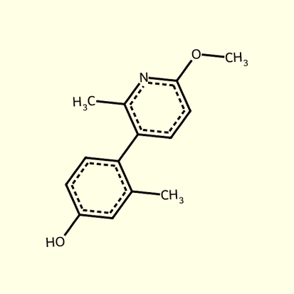 COc1ccc(-c2ccc(O)cc2C)c(C)n1